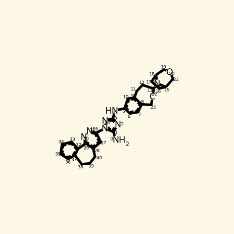 Nc1nc(Nc2ccc3c(c2)CCC(N2C4CCC2COC4)CC3)nn1-c1cc2c(nn1)-c1ccccc1CCC2